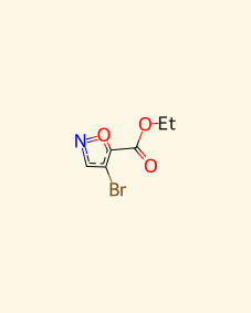 CCOC(=O)c1oncc1Br